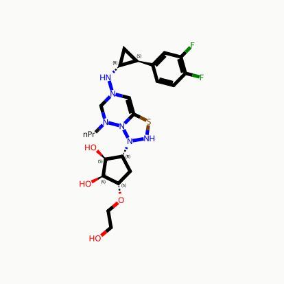 CCCN1CN(N[C@@H]2C[C@H]2c2ccc(F)c(F)c2)C=C2SNN([C@@H]3C[C@H](OCCO)[C@@H](O)[C@H]3O)N21